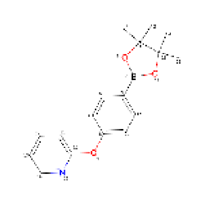 CC1(C)OB(c2ccc(Oc3ccccn3)cc2)OC1(C)C